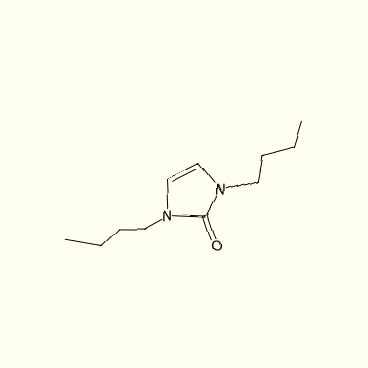 CCCCn1ccn(CCCC)c1=O